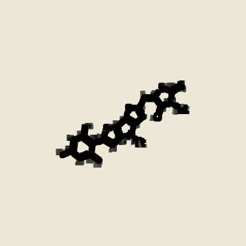 CCN1C(=O)/C(=C\c2cc3c(s2)c2sc(-c4c(C)cc(C)cc4C)cc2n3CC)SC1=S